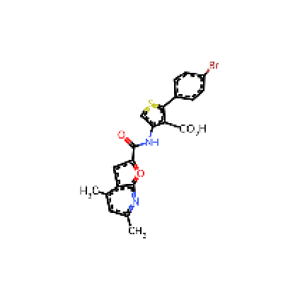 Cc1cc(C)c2cc(C(=O)Nc3csc(-c4ccc(Br)cc4)c3C(=O)O)oc2n1